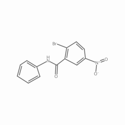 O=C(Nc1ccccc1)c1cc([N+](=O)[O-])ccc1Br